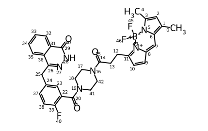 Cc1cc(C)n2c1C=C1C=CC(CCC(=O)N3CCN(C(=O)c4cc(Cc5n[nH]c(=O)c6ccccc56)ccc4F)CC3)=[N+]1[B-]2(F)F